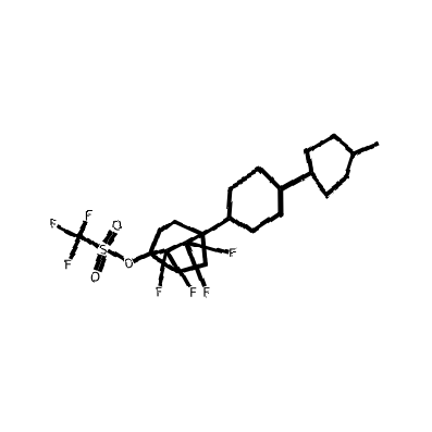 CC1CCC(C2CCC(C34CCC(OS(=O)(=O)C(F)(F)F)(CC3)C(F)(F)C4(F)F)CC2)CC1